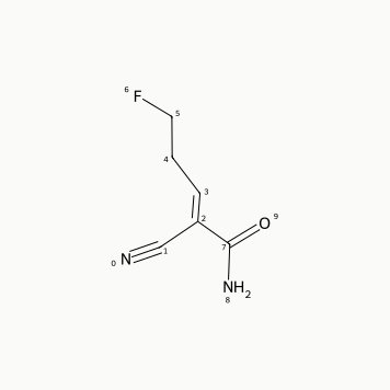 N#C/C(=C\CCF)C(N)=O